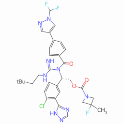 CC(C)(C)CCNC(=N)N(C(=O)c1ccc(-c2cnn(C(F)F)c2)cc1)[C@H](COC(=O)N1CC(C)(F)C1)c1ccc(Cl)c(-c2ncn[nH]2)c1